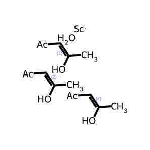 CC(=O)/C=C(/C)O.CC(=O)/C=C(/C)O.CC(=O)/C=C(/C)O.O.[Sc]